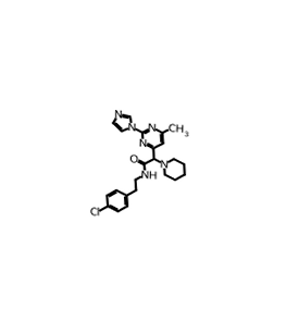 Cc1cc(C(C(=O)NCCc2ccc(Cl)cc2)N2CCCCC2)nc(-n2ccnc2)n1